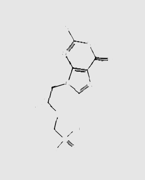 C[C@H](Cn1cnc2c(=O)[nH]c(N)nc21)OCP(=O)(O)O